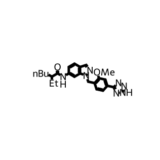 CCCCC(CC)C(=O)Nc1ccc2cnn(Cc3ccc(-c4nn[nH]n4)cc3OC)c2c1